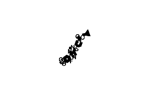 CS(=O)(=O)c1ccc(-n2ncc3c(SC4CCN(C(=O)OCC5CC5)CC4)ncnc32)c(F)c1